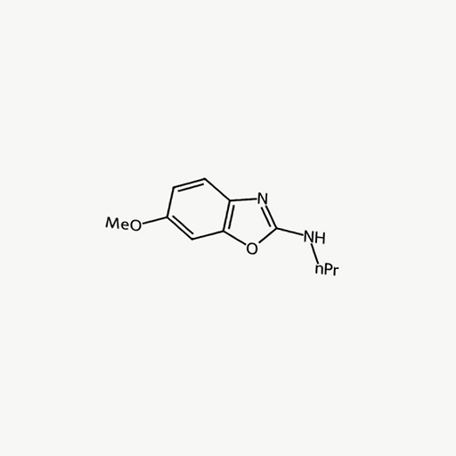 CCCNc1nc2ccc(OC)cc2o1